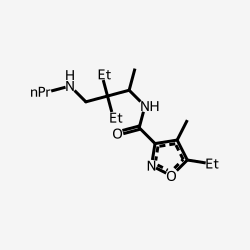 CCCNCC(CC)(CC)C(C)NC(=O)c1noc(CC)c1C